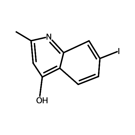 Cc1cc(O)c2ccc(I)cc2n1